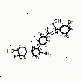 Nc1ncc([C@H]2CC[C@H](O)C(F)(F)C2)nc1-c1ccc(C(=O)NC(CO)c2cc(F)cc(Br)c2)c(F)c1